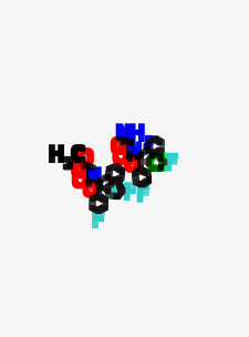 COC(=O)CN1C(=O)OC(c2ccc(F)cc2)(c2ccc(F)cc2)[C@@H]1c1ccccc1F.NC(=O)CN1C(=O)OC(c2ccc(F)cc2)(c2ccc(F)cc2)[C@@H]1c1ccccc1Cl